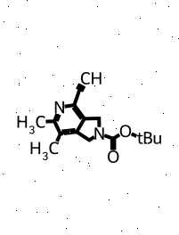 C#Cc1nc(C)c(C)c2c1CN(C(=O)OC(C)(C)C)C2